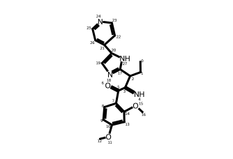 CCC(C(=N)C(=O)c1ccc(OC)cc1OC)c1ncc(-c2ccncc2)[nH]1